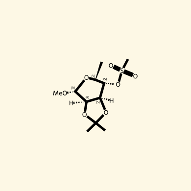 CO[C@@H]1O[C@@H](C)[C@H](OS(C)(=O)=O)[C@H]2OC(C)(C)O[C@@H]12